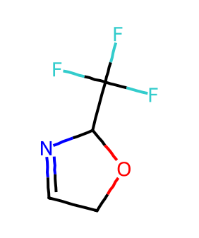 FC(F)(F)C1N=CCO1